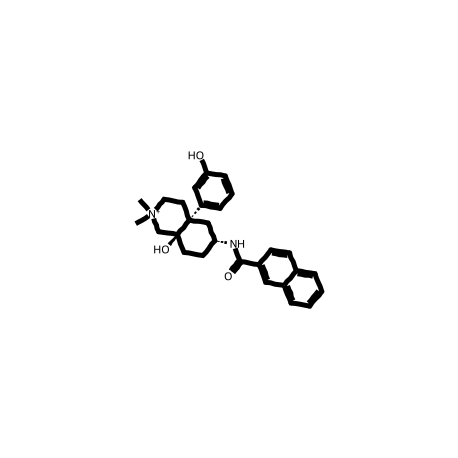 C[N+]1(C)CC[C@@]2(c3cccc(O)c3)C[C@H](NC(=O)c3ccc4ccccc4c3)CC[C@]2(O)C1